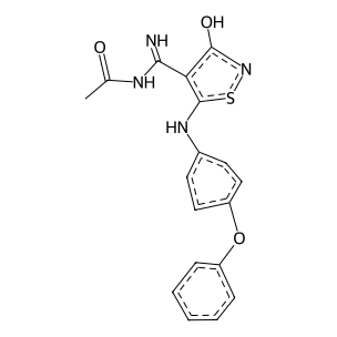 CC(=O)NC(=N)c1c(O)nsc1Nc1ccc(Oc2ccccc2)cc1